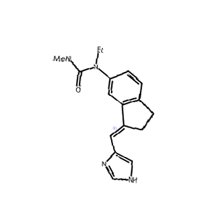 CCN(C(=O)NC)c1ccc2c(c1)/C(=C/c1c[nH]cn1)CC2